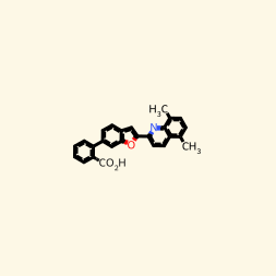 Cc1ccc(C)c2nc(-c3cc4ccc(-c5ccccc5C(=O)O)cc4o3)ccc12